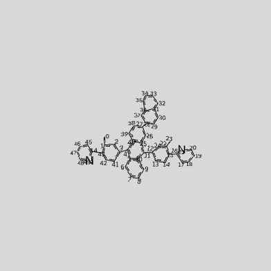 Cc1cc(-c2c3ccccc3c(-c3ccc(-c4ccccn4)c(C)c3)c3cc(-c4ccc5ccccc5c4)ccc23)ccc1-c1ccccn1